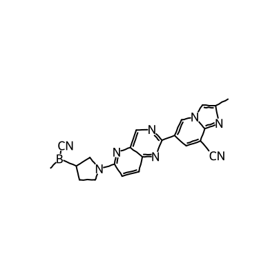 CB(C#N)C1CCN(c2ccc3nc(-c4cc(C#N)c5nc(C)cn5c4)ncc3n2)C1